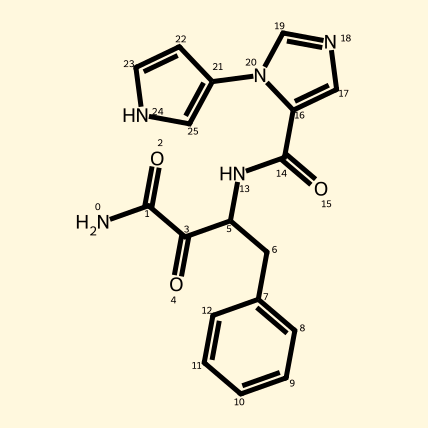 NC(=O)C(=O)C(Cc1ccccc1)NC(=O)c1cncn1-c1cc[nH]c1